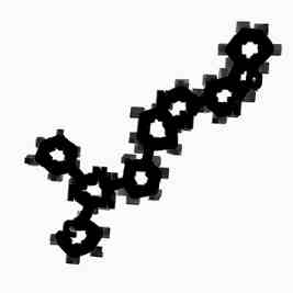 c1ccc(-c2nc(-c3ccccc3)nc(-c3cccc(-c4ccc5ncc(-c6cnc7oc8ccccc8c7c6)nc5c4)c3)n2)cc1